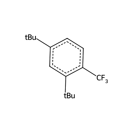 CC(C)(C)c1ccc(C(F)(F)F)c(C(C)(C)C)c1